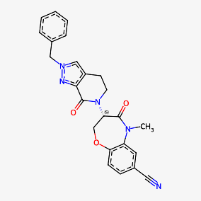 CN1C(=O)[C@@H](N2CCc3cn(Cc4ccccc4)nc3C2=O)COc2ccc(C#N)cc21